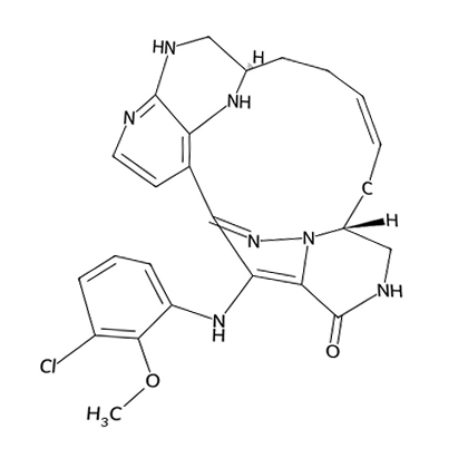 COc1c(Cl)cccc1Nc1c2nn3c1C(=O)NC[C@H]3C/C=C\CC[C@@H]1CNc3nccc-2c3N1